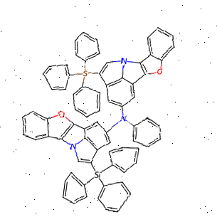 c1ccc(N(c2cc3c([Si](c4ccccc4)(c4ccccc4)c4ccccc4)cn4c3c(c2)c2oc3ccccc3c24)c2cc3c(S(c4ccccc4)(c4ccccc4)c4ccccc4)cn4c3c(c2)c2oc3ccccc3c24)cc1